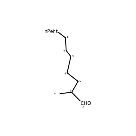 CCCCCCCCCCC(I)C=O